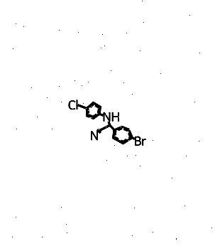 N#CC(Nc1ccc(Cl)cc1)c1ccc(Br)cc1